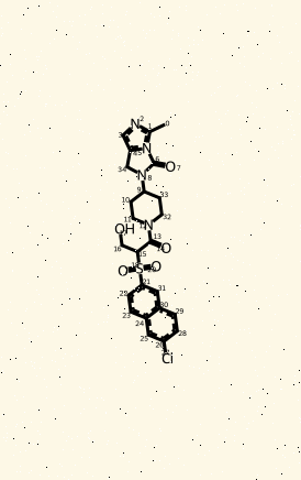 Cc1ncc2n1C(=O)N(C1CCN(C(=O)C(CO)S(=O)(=O)c3ccc4cc(Cl)ccc4c3)CC1)C2